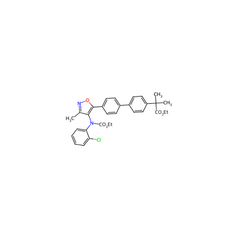 CCOC(=O)N(c1ccccc1Cl)c1c(C)noc1-c1ccc(-c2ccc(C(C)(C)C(=O)OCC)cc2)cc1